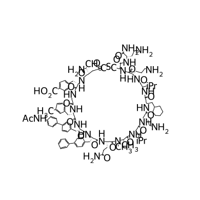 CC(=O)Nc1ccc(-c2ccc(C[C@@H]3NC(=O)[C@H](Cc4cccc(C)c4)NC(=O)CNC(=O)[C@H](Cc4ccc(C(=O)O)cc4)NC(=O)[C@H](C(C)N)CC(=O)CSCC(C(=O)N[C@@H](CCN)C(N)=O)NC(=O)[C@H](CCCN)NC(=O)C(C(C)C)NC(=O)C(CC4CCCCC4)NC(=O)[C@H](CCN)NC(=O)[C@@H](CC(C)C)NC(=O)[C@H](C)N(C)C(=O)[C@H](CCC(N)=O)NC(=O)[C@H](Cc4ccc(-c5ccccc5)cc4)NC3=O)cc2)cc1